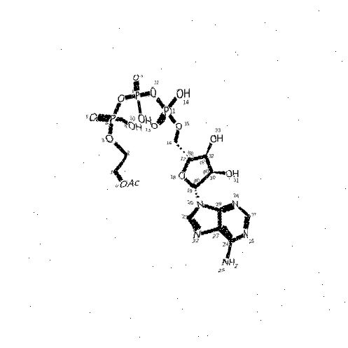 CC(=O)OCCOP(=O)(O)OP(=O)(O)OP(=O)(O)OC[C@H]1O[C@@H](n2cnc3c(N)ncnc32)[C@H](O)[C@@H]1O